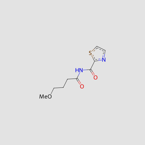 COCCCC(=O)NC(=O)c1nccs1